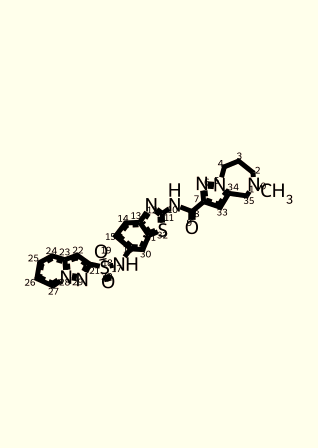 CN1CCCn2nc(C(=O)Nc3nc4ccc(NS(=O)(=O)c5cc6ccccn6n5)cc4s3)cc2C1